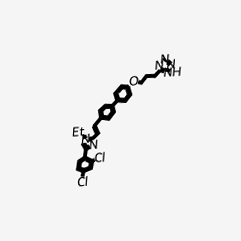 CCn1cc(-c2ccc(Cl)cc2Cl)nc1/C=C/c1ccc(-c2ccc(OCCCc3nnn[nH]3)cc2)cc1